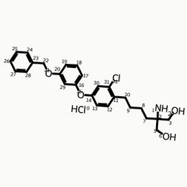 Cl.NC(CO)(CO)CCCCc1ccc(Oc2cccc(OCc3ccccc3)c2)cc1Cl